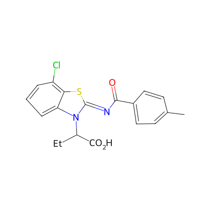 CCC(C(=O)O)n1c(=NC(=O)c2ccc(C)cc2)sc2c(Cl)cccc21